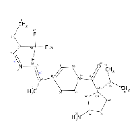 CCC(/C=N\C=C(/C)C1=CCN(C(=O)[C@@]2(C(C)C)CCC(N)C2)CC1)C(F)(F)F